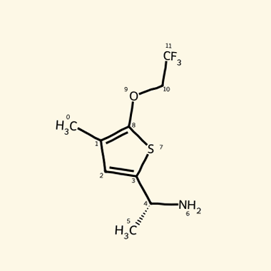 Cc1cc([C@@H](C)N)sc1OCC(F)(F)F